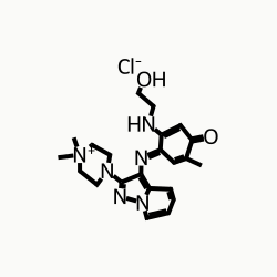 CC1=C/C(=N\c2c(N3CC[N+](C)(C)CC3)nn3ccccc23)C(NCCO)=CC1=O.[Cl-]